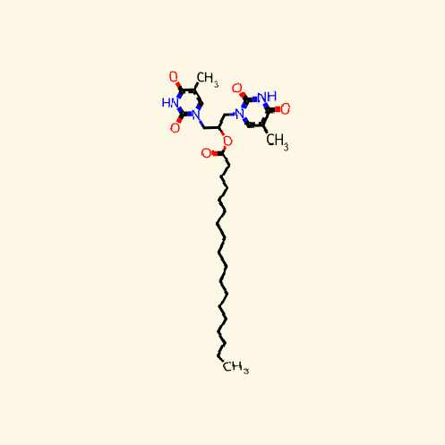 CCCCCCCCCCCCCCCCCC(=O)OC(Cn1cc(C)c(=O)[nH]c1=O)Cn1cc(C)c(=O)[nH]c1=O